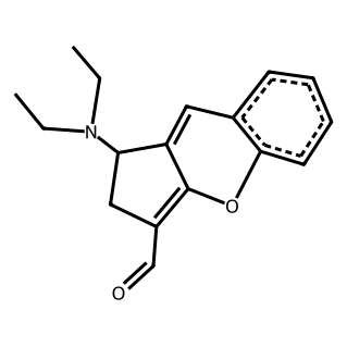 CCN(CC)C1CC(C=O)=C2Oc3ccccc3C=C21